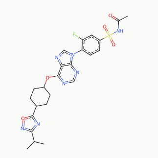 CC(=O)NS(=O)(=O)c1ccc(-n2cnc3c(OC4CCC(c5nc(C(C)C)no5)CC4)ncnc32)c(F)c1